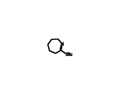 CC(C)(C)C1=NCCCCC1